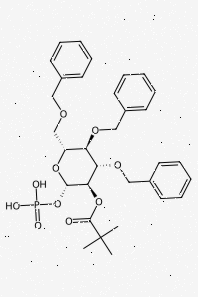 CC(C)(C)C(=O)O[C@H]1[C@H](OP(=O)(O)O)O[C@H](COCc2ccccc2)[C@@H](OCc2ccccc2)[C@@H]1OCc1ccccc1